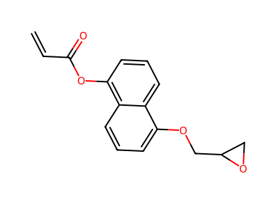 C=CC(=O)Oc1cccc2c(OCC3CO3)cccc12